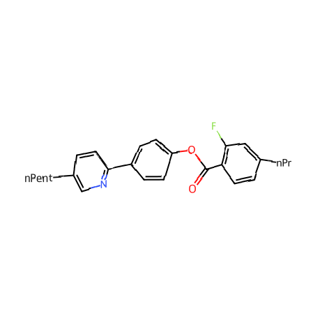 CCCCCc1ccc(-c2ccc(OC(=O)c3ccc(CCC)cc3F)cc2)nc1